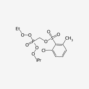 CCOOP(=O)(COS(=O)(=O)c1c(C)cccc1Cl)OOC(C)C